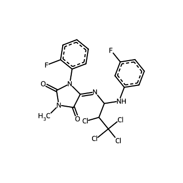 CN1C(=O)C(=NC(Nc2cccc(F)c2)C(Cl)C(Cl)(Cl)Cl)N(c2ccccc2F)C1=O